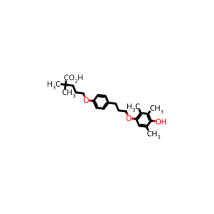 Cc1cc(OCCCc2ccc(OCCCC(C)(C)C(=O)O)cc2)c(C)c(C)c1O